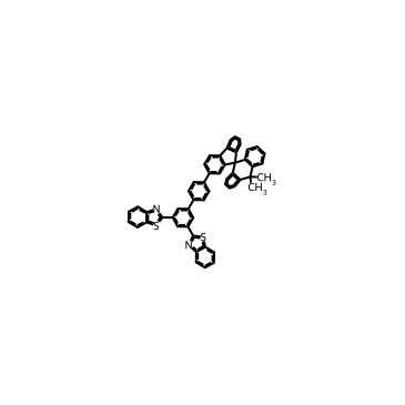 CC1(C)c2ccccc2C2(c3ccccc3-c3ccc(-c4ccc(-c5cc(-c6nc7ccccc7s6)cc(-c6nc7ccccc7s6)c5)cc4)cc32)c2ccccc21